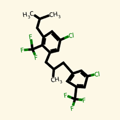 CC(C)Cc1cc(Cl)cc(CC(C)Cc2cc(Cl)cc(C(F)(F)F)c2)c1C(F)(F)F